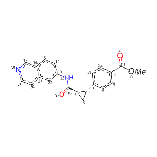 COC(=O)c1ccc([C@@H]2C[C@H]2C(=O)Nc2ccc3cnccc3c2)cc1